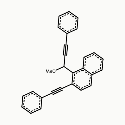 COC(C#Cc1ccccc1)c1c(C#Cc2ccccc2)ccc2ccccc12